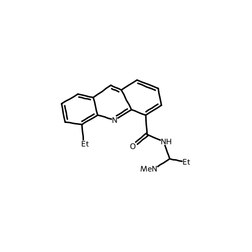 CCc1cccc2cc3cccc(C(=O)NC(CC)NC)c3nc12